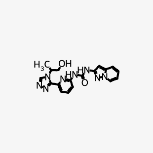 CC(CO)n1cnnc1-c1cccc(NC(=O)Nc2cc3ccccn3n2)n1